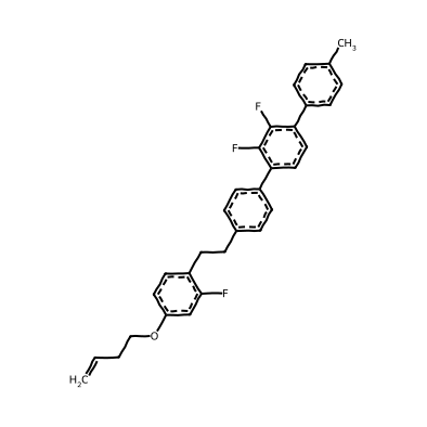 C=CCCOc1ccc(CCc2ccc(-c3ccc(-c4ccc(C)cc4)c(F)c3F)cc2)c(F)c1